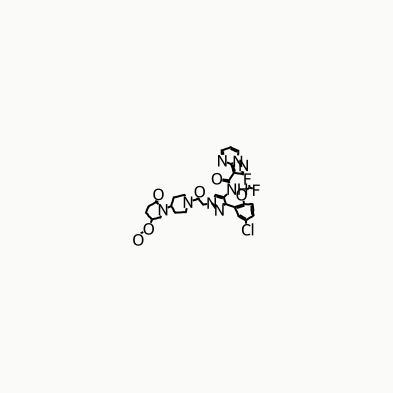 O=COC1CCC(=O)N(C2CCN(C(=O)Cn3cc(NC(=O)c4cnn5cccnc45)c(-c4cc(Cl)ccc4OC(F)F)n3)CC2)C1